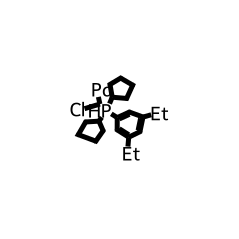 CCc1cc(CC)cc([PH]([CH](Cl)[Pd])(C2CCCC2)C2CCCC2)c1